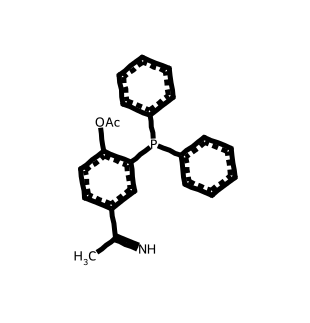 CC(=N)c1ccc(OC(C)=O)c(P(c2ccccc2)c2ccccc2)c1